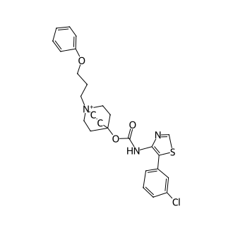 O=C(Nc1ncsc1-c1cccc(Cl)c1)OC12CC[N+](CCCOc3ccccc3)(CC1)CC2